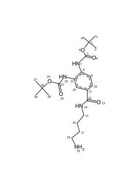 CC(C)(C)OC(=O)Nc1ccc(C(=O)NCCCCN)cc1NC(=O)OC(C)(C)C